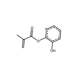 C=C(C)C(=O)Oc1ncccc1O